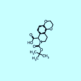 CC(C)(C)OC(=O)N1CCc2c(ccc3c2OCCO3)C1C(=O)O